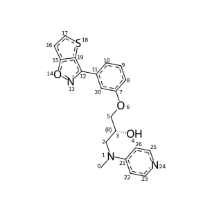 CN(C[C@@H](O)COc1cccc(-c2noc3ccsc23)c1)c1ccncc1